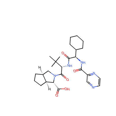 CC(C)(C)[C@H](NC(=O)[C@H](NC(=O)c1cnccn1)C1CCCCC1)C(=O)N1C[C@@H]2CCC[C@@H]2[C@H]1C(=O)O